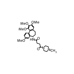 COc1ccc2c(c1)[C@@H](NC(=O)CCC(=O)N1CCN(C)CC1)CCc1cc(OC)c(OC)c(OC)c1-2